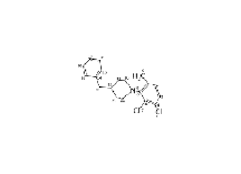 [CH2]c1ccc(Cl)c(Cl)c1N1CCC(Cc2ccccc2)CC1